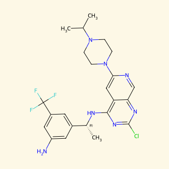 CC(C)N1CCN(c2cc3c(N[C@H](C)c4cc(N)cc(C(F)(F)F)c4)nc(Cl)nc3cn2)CC1